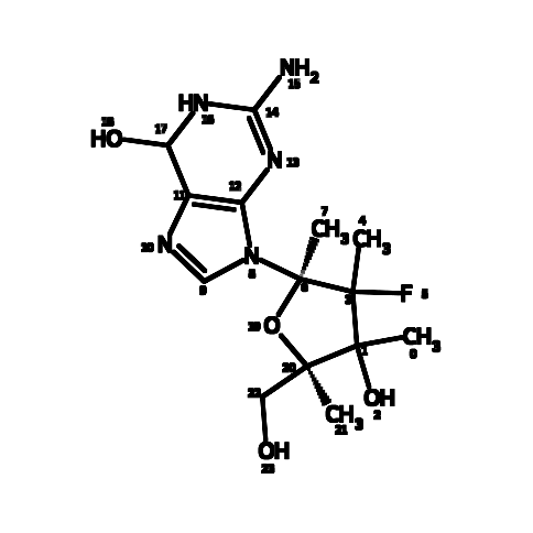 CC1(O)C(C)(F)[C@](C)(n2cnc3c2N=C(N)NC3O)O[C@]1(C)CO